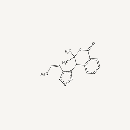 CO/C=C\c1cncn1C1c2ccccc2C(=O)OC1(C)C